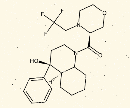 O=C([C@@H]1COCCN1CC(F)(F)F)N1CC[C@@](O)(c2ccccc2)[C@@H]2CCCCC21